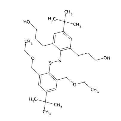 CCOCc1cc(C(C)(C)C)cc(COCC)c1SSc1c(CCCO)cc(C(C)(C)C)cc1CCCO